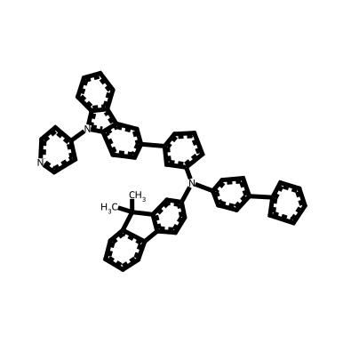 CC1(C)c2ccccc2-c2ccc(N(c3ccc(-c4ccccc4)cc3)c3cccc(-c4ccc5c(c4)c4ccccc4n5-c4ccncc4)c3)cc21